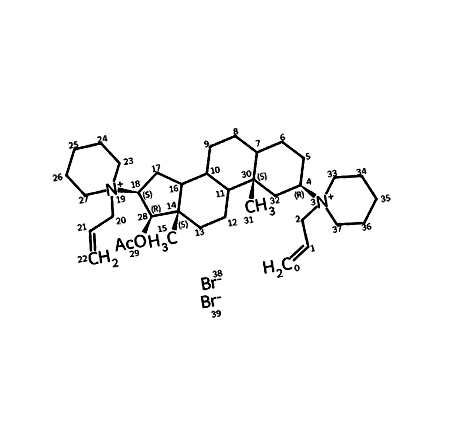 C=CC[N+]1([C@@H]2CCC3CCC4C(CC[C@@]5(C)C4C[C@H]([N+]4(CC=C)CCCCC4)[C@@H]5OC(C)=O)[C@@]3(C)C2)CCCCC1.[Br-].[Br-]